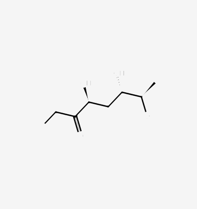 C[C@@H](O)[C@@H](O)C[C@H](O)C(=O)CF